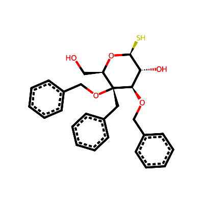 OC[C@H]1O[C@@H](S)[C@H](O)[C@@H](OCc2ccccc2)[C@]1(Cc1ccccc1)OCc1ccccc1